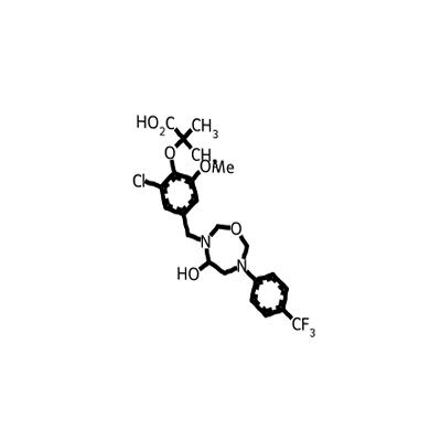 COc1cc(CN2COCN(c3ccc(C(F)(F)F)cc3)CC2O)cc(Cl)c1OC(C)(C)C(=O)O